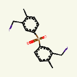 Cc1ccc(S(=O)(=O)c2ccc(C)c(CI)c2)cc1CI